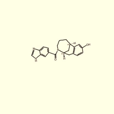 O=C(c1ccc2nc[nH]c2c1)N1CCC[C@@H]2C[C@@H]1Cc1ccc(O)cc12